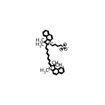 CN1/C(=C/C=C/C=C/C=C/C2=[N+](CCCCS(=O)(=O)[O-])c3ccc4ccccc4c3C2(C)C)C(C)(C)c2c1ccc1ccccc21